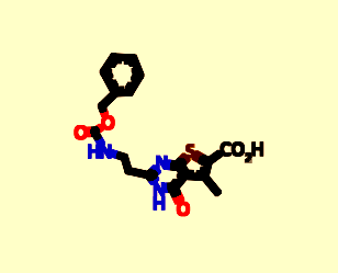 Cc1c(C(=O)O)sc2nc(CCNC(=O)OCc3ccccc3)[nH]c(=O)c12